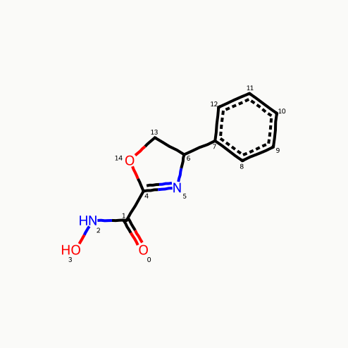 O=C(NO)C1=NC(c2ccccc2)CO1